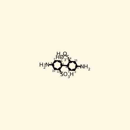 Nc1ccc(-c2ccc(N)cc2S(=O)(=O)O)c(S(=O)(=O)O)c1.O